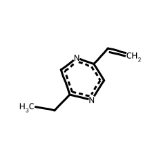 C=Cc1cnc(CC)cn1